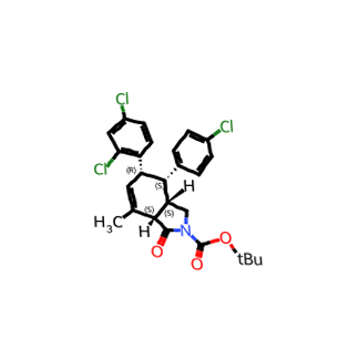 CC1=C[C@H](c2ccc(Cl)cc2Cl)[C@H](c2ccc(Cl)cc2)[C@@H]2CN(C(=O)OC(C)(C)C)C(=O)[C@H]12